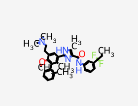 CCC(F)(F)c1cccc(NC(=O)c2nc(-c3cc(CCN(C)C)c(OC)c(-c4ccccc4C)c3C)[nH]c2C)c1